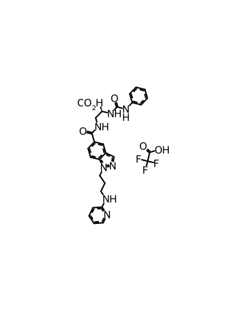 O=C(Nc1ccccc1)N[C@@H](CNC(=O)c1ccc2c(cnn2CCCNc2ccccn2)c1)C(=O)O.O=C(O)C(F)(F)F